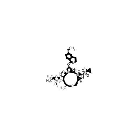 COc1ccc2c(O[C@@H]3C[C@H]4C(=O)N[C@]5(C(=O)NS(=O)(=O)C6(F)CC6)C[C@H]5/C=C\CC[C@@H](C)C[C@@H](C)[C@H](NC(=O)OC(C)(C)C)C(=O)N4C3)nccc2c1